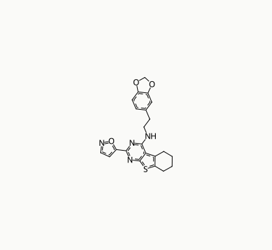 c1cc(-c2nc(NCCc3ccc4c(c3)OCO4)c3c4c(sc3n2)CCCC4)on1